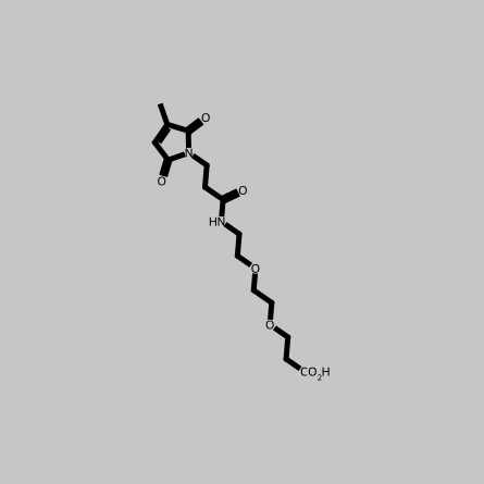 CC1=CC(=O)N(CCC(=O)NCCOCCOCCC(=O)O)C1=O